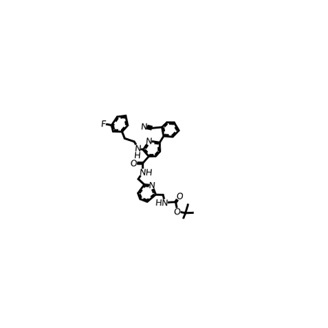 CC(C)(C)OC(=O)NCc1cccc(CNC(=O)c2ccc(-c3ccccc3C#N)nc2NCCc2cccc(F)c2)n1